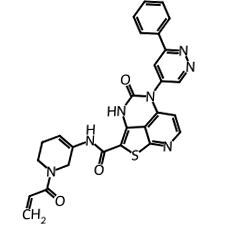 C=CC(=O)N1CCC=C(NC(=O)c2sc3nccc4c3c2NC(=O)N4c2cnnc(-c3ccccc3)c2)C1